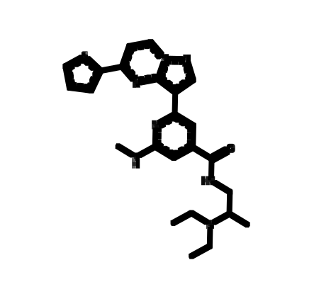 CCN(CC)C(C)CNC(=O)c1cc(NC)nc(-c2cnn3ccc(-c4cccs4)nc23)c1